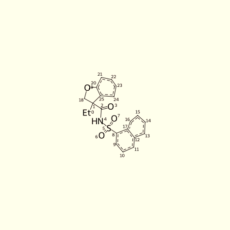 CCC1(C(=O)NS(=O)(=O)c2cccc3ccccc23)COc2ccccc21